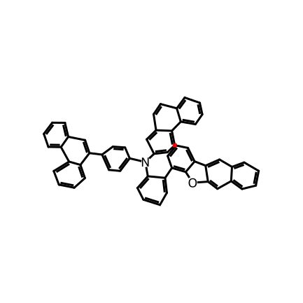 c1ccc(N(c2ccc(-c3cc4ccccc4c4ccccc34)cc2)c2ccc3c(ccc4ccccc43)c2)c(-c2cccc3c2oc2cc4ccccc4cc23)c1